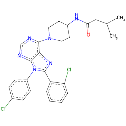 CC(C)CC(=O)NC1CCN(c2ncnc3c2nc(-c2ccccc2Cl)n3-c2ccc(Cl)cc2)CC1